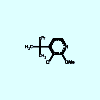 CCCC(C)(C)c1ccnc(OC)c1Cl